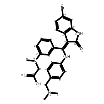 CN(C)Cc1ccc(N/C(=C2\C(=O)Nc3cc(Br)ccc32)c2cccc(N(C)CC(=O)O)c2)cc1